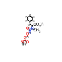 CC(C)OC(=O)OCO/N=[N+](\[O-])N(C)[C@@H](Cc1ccccc1)C(=O)O